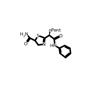 CCCCC[C@@H](C(=O)Nc1ccccc1)C1=NCC(C(N)=O)S1